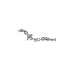 CCCCCOc1ccc(C2CCC(OCCCOc3c(F)cc(-c4ccc(CCCC)cc4)cc3F)CC2)cc1